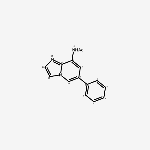 CC(=O)Nc1cc(-c2ccccc2)cn2ccnc12